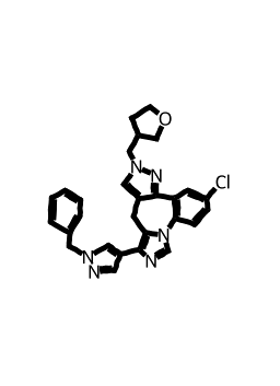 Clc1ccc2c(c1)-c1nn(CC3CCOC3)cc1Cc1c(-c3cnn(Cc4ccccc4)c3)ncn1-2